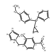 COc1ccc(B(c2ccccc2)C2CC2)cc1.O=[N+]([O-])c1ccc(Cn2ccnc2)c(Cl)c1